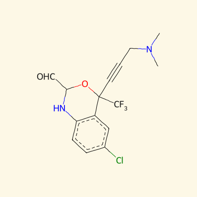 CN(C)CC#CC1(C(F)(F)F)OC(C=O)Nc2ccc(Cl)cc21